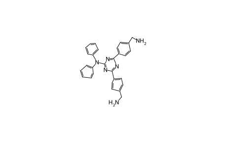 NCc1ccc(-c2nc(-c3ccc(CN)cc3)nc(N(c3ccccc3)c3ccccc3)n2)cc1